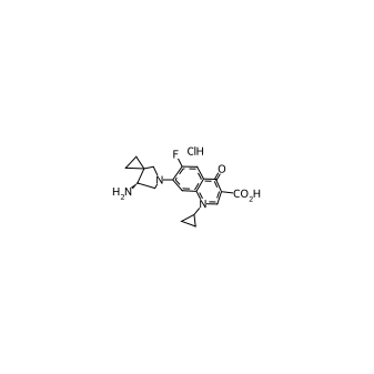 Cl.N[C@@H]1CN(c2cc3c(cc2F)c(=O)c(C(=O)O)cn3C2CC2)CC12CC2